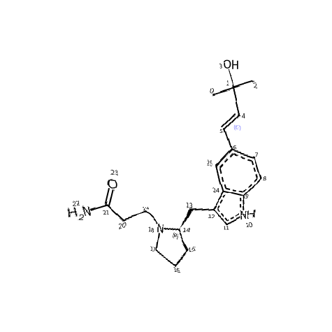 CC(C)(O)/C=C/c1ccc2[nH]cc(C[C@H]3CCCN3CCC(N)=O)c2c1